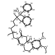 COc1cc2c(cc1OC)[C@H]1CC(=O)C(CC(C)(C)CCCC(C)(C)[Si](O)(c3ccccc3)c3ccccc3)=CN1CC2